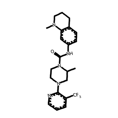 CC1CN(c2ncccc2C(F)(F)F)CCN1C(=O)Nc1ccc2c(c1)N(C)CCC2